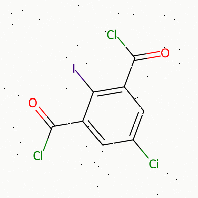 O=C(Cl)c1cc(Cl)cc(C(=O)Cl)c1I